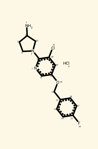 Cl.NC1CCN(c2ncc(OCc3ccc(F)cc3)cc2Cl)C1